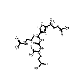 CC(=O)CC[C@H](NC(=O)N[C@@H](CCCNC(=N)N)c1nc([C@@H](N)CCC(=O)O)no1)C(=O)O